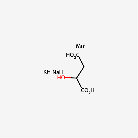 O=C(O)CC(O)C(=O)O.[KH].[Mn].[NaH]